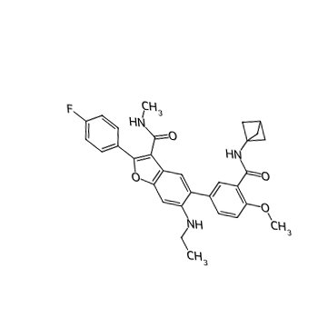 CCNc1cc2oc(-c3ccc(F)cc3)c(C(=O)NC)c2cc1-c1ccc(OC)c(C(=O)NC23CC(C2)C3)c1